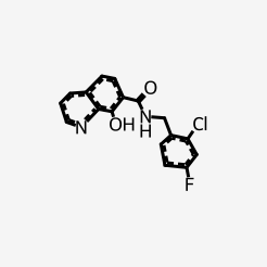 O=C(NCc1ccc(F)cc1Cl)c1ccc2cccnc2c1O